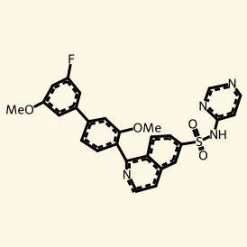 COc1cc(F)cc(-c2ccc(-c3nccc4cc(S(=O)(=O)Nc5ccncn5)ccc34)c(OC)c2)c1